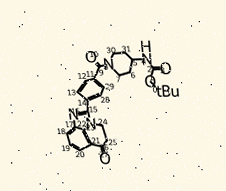 CC(C)(C)OC(=O)NC1CCN(C(=O)c2ccc(-c3nc4cccc5c4n3CCC5=O)cc2)CC1